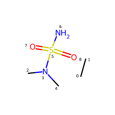 CC.CN(C)S(N)(=O)=O